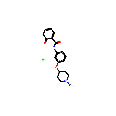 CN1CCC(Oc2cccc(NC(=O)C3=CC=CCC3=O)c2)CC1.Cl